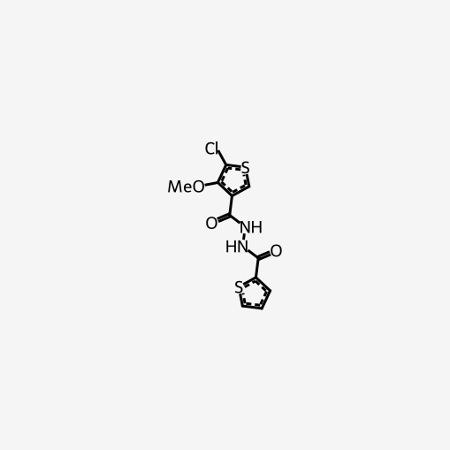 COc1c(C(=O)NNC(=O)c2cccs2)csc1Cl